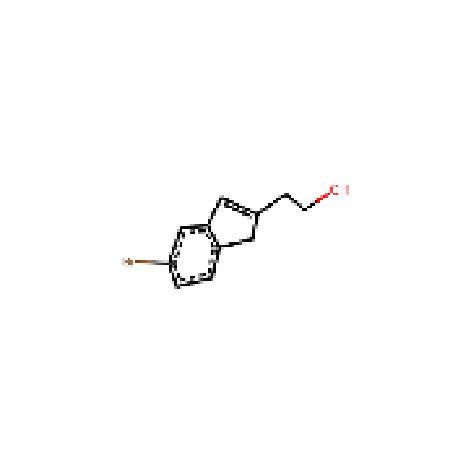 OCCC1=Cc2cc(Br)ccc2C1